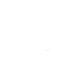 BC1(C)CCCCC2/C(=N/C)N(C)CCC2CCC1